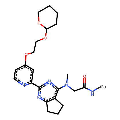 CN(CC(=O)NC(C)(C)C)c1nc(-c2cc(OCCOC3CCCCO3)ccn2)nc2c1CCC2